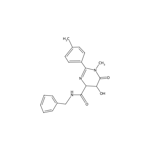 Cc1ccc(C2=NC(C(=O)NCc3ccccc3)C(O)C(=O)N2C)cc1